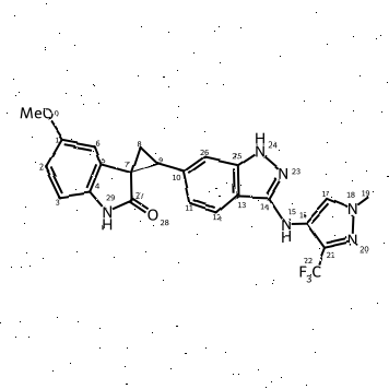 COc1ccc2c(c1)C1(CC1c1ccc3c(Nc4cn(C)nc4C(F)(F)F)n[nH]c3c1)C(=O)N2